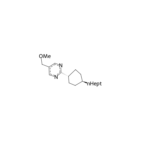 CCCCCCC[C@H]1CC[C@H](c2ncc(COC)cn2)CC1